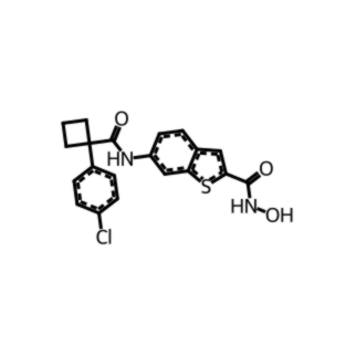 O=C(NO)c1cc2ccc(NC(=O)C3(c4ccc(Cl)cc4)CCC3)cc2s1